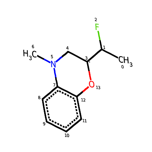 CC(F)[C]1CN(C)c2ccccc2O1